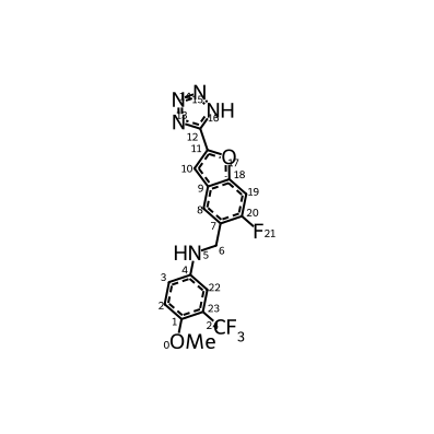 COc1ccc(NCc2cc3cc(-c4nnn[nH]4)oc3cc2F)cc1C(F)(F)F